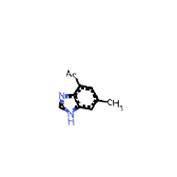 CC(=O)c1cc(C)cc2[nH]cnc12